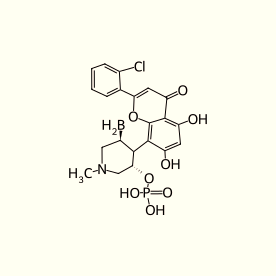 B[C@@H]1CN(C)C[C@@H](OP(=O)(O)O)C1c1c(O)cc(O)c2c(=O)cc(-c3ccccc3Cl)oc12